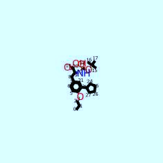 CCCOc1ccc(CC(NC(=O)OC(C)(C)C)C(=O)O)cc1C1CCCC1